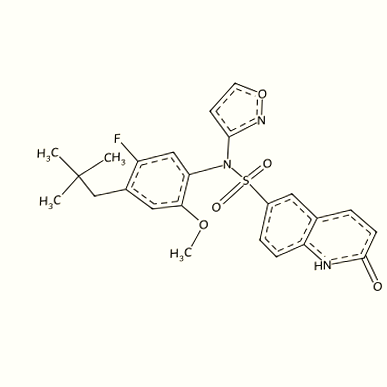 COc1cc(CC(C)(C)C)c(F)cc1N(c1ccon1)S(=O)(=O)c1ccc2[nH]c(=O)ccc2c1